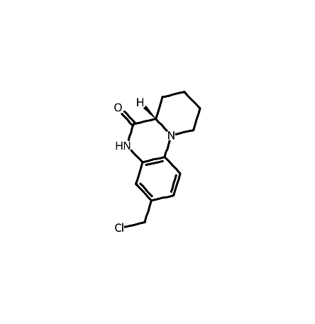 O=C1Nc2cc(CCl)ccc2N2CCCC[C@@H]12